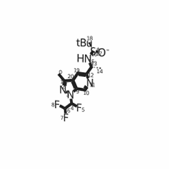 Cc1nn(C(F)C(F)F)c2cnc([C@@H](C)N[S@+]([O-])C(C)(C)C)cc12